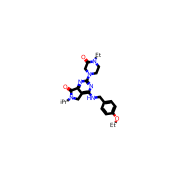 CCOc1ccc(CNc2nc(N3CCN(CC)C(=O)C3)nc3c2CN(C(C)C)C3=O)cc1